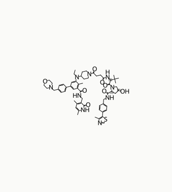 CCN(c1cc(-c2ccc(CN3CCOCC3)cc2)cc(C(=O)NCc2c(C)cc(C)[nH]c2=O)c1C)C1CCN(C(=O)CCC(=O)N[C@H](C(=O)N2C[C@H](O)C[C@H]2C(=O)NCc2ccc(-c3scnc3C)cc2)C(C)(C)C)CC1